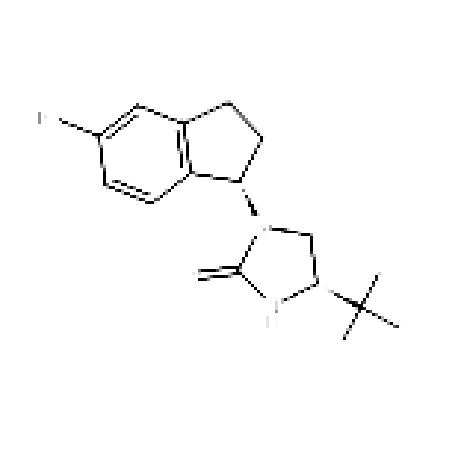 O=C1N[C@H](C(F)(F)F)CN1[C@@H]1CCc2cc(Br)ccc21